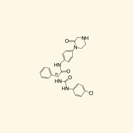 O=C(Nc1ccc(Cl)cc1)N[C@@H](C(=O)Nc1ccc(N2CCNCC2=O)cc1)c1ccccc1